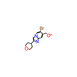 COCc1cc2nc(C3CCOCC3)cn2cc1Br